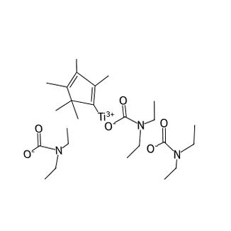 CC1=C(C)C(C)(C)[C]([Ti+3])=C1C.CCN(CC)C(=O)[O-].CCN(CC)C(=O)[O-].CCN(CC)C(=O)[O-]